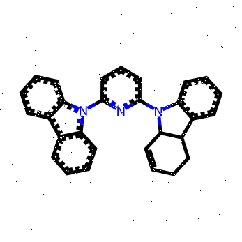 C1=CC2C(CC1)c1ccccc1N2c1cccc(-n2c3ccccc3c3ccccc32)n1